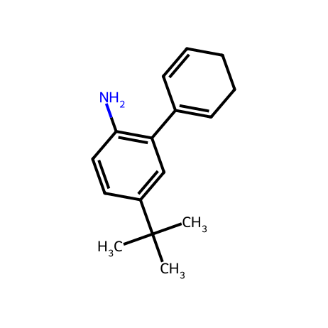 CC(C)(C)c1ccc(N)c(C2=CCCC=C2)c1